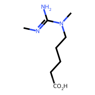 CN=C(N)N(C)CCCCC(=O)O